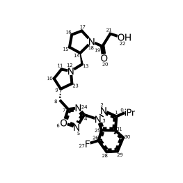 CC(C)c1nn(-c2noc(C[C@@H]3CCN(C[C@H]4CCCN4C(=O)CO)C3)n2)c2c(F)cccc12